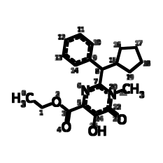 CCOC(=O)c1nc(C(c2ccccc2)C2CCCC2)n(C)c(=O)c1O